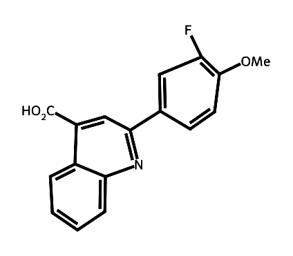 COc1ccc(-c2cc(C(=O)O)c3ccccc3n2)cc1F